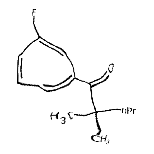 CCCC(C)(C)C(=O)c1cccc(F)c1